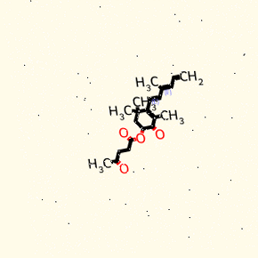 C=C/C=C(C)/C=C/C1=C(C)C(=O)C(OC(=O)CCC(C)=O)CC1(C)C